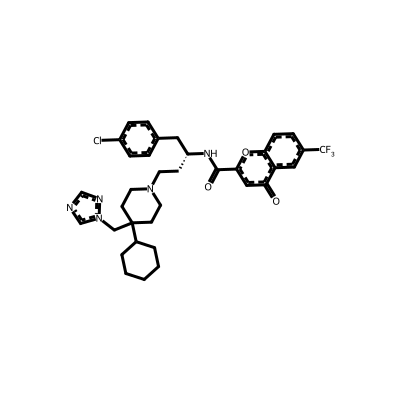 O=C(N[C@H](CCN1CCC(Cn2cncn2)(C2CCCCC2)CC1)Cc1ccc(Cl)cc1)c1cc(=O)c2cc(C(F)(F)F)ccc2o1